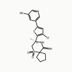 C[C@@]1(c2sc(-c3cncc(C#N)c3)cc2Cl)CS(=O)(=O)C2(CCCC2)C(=N)N1